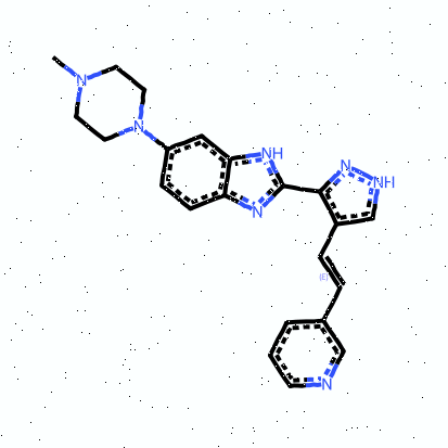 CN1CCN(c2ccc3nc(-c4n[nH]cc4/C=C/c4cccnc4)[nH]c3c2)CC1